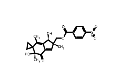 CC1=C2C(=C[C@@](C)(COC(=O)c3ccc([SH](=O)=O)cc3)[C@@H]2O)C(=O)[C@](C)(O)C12CC2